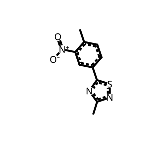 Cc1nsc(-c2ccc(C)c([N+](=O)[O-])c2)n1